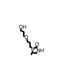 CC1CNC(=O)N1CCCOCCCO